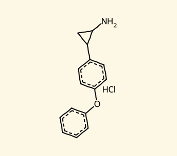 Cl.NC1CC1c1ccc(Oc2ccccc2)cc1